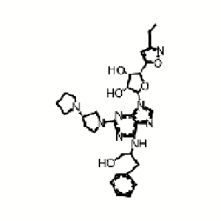 CCc1cc([C@H]2O[C@@H](n3cnc4c(N[C@H](CO)Cc5ccccc5)nc(N5CC[C@@H](N6CCCC6)C5)nc43)[C@H](O)[C@@H]2O)on1